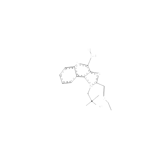 [3H]Nc1nc2ccccc2c2c1nc(COCC)n2CC(C)(C)O